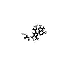 Cn1ncc(-c2ccc3c(=O)[nH]nc(CNC(=O)OC(C)(C)C)c3c2)c1N1C(=O)C2(CC2)c2c(Cl)cccc21